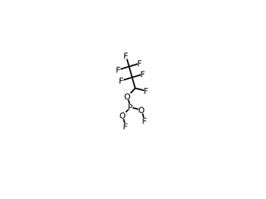 FOP(OF)OC(F)C(F)(F)C(F)(F)F